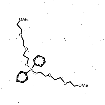 COCCOCCOCCO[Si](OCCOCCOCCOC)(c1ccccc1)c1ccccc1